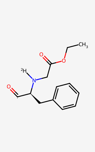 [2H]N(CC(=O)OCC)[C@H]([C]=O)Cc1ccccc1